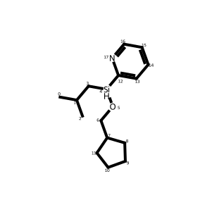 CC(C)C[SiH](OCC1CCCC1)c1ccccn1